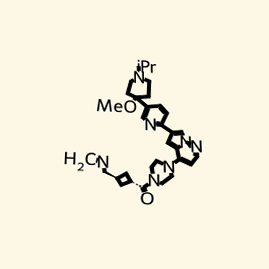 C=NC[C@H]1C[C@H](C(=O)N2CCN(c3ccnn4cc(-c5ccc(C6(OC)CCN(C(C)C)CC6)cn5)cc34)CC2)C1